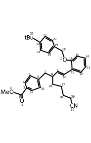 COC(=O)c1ccc(CC(C=Cc2ccccc2OCc2ccc(C(C)(C)C)cc2)CCCCC#N)cc1